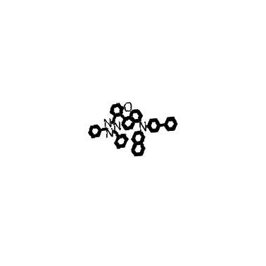 c1ccc(-c2ccc(N(c3ccc4ccccc4c3)c3ccc4c5c(cccc35)-c3c(cccc3-c3nc(-c5ccccc5)nc(-c5ccccc5)n3)O4)cc2)cc1